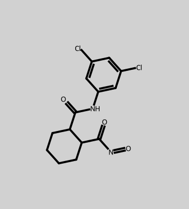 O=NC(=O)C1CCCCC1C(=O)Nc1cc(Cl)cc(Cl)c1